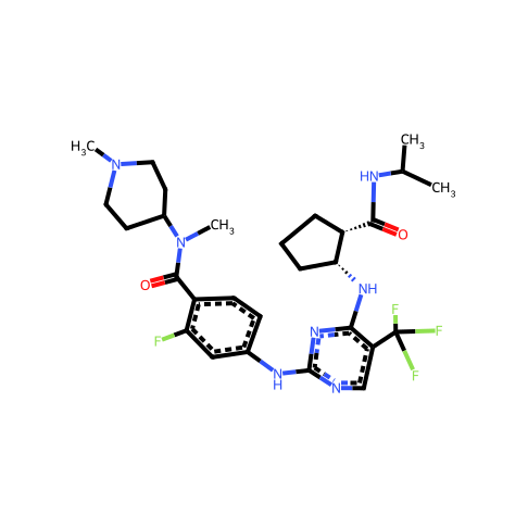 CC(C)NC(=O)[C@H]1CCC[C@H]1Nc1nc(Nc2ccc(C(=O)N(C)C3CCN(C)CC3)c(F)c2)ncc1C(F)(F)F